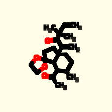 C=CC(C)(C)C(=O)C(=C)[C@@]12CC[C@@H](C)C(C(C)=O)C1C1(CC2)OCCO1